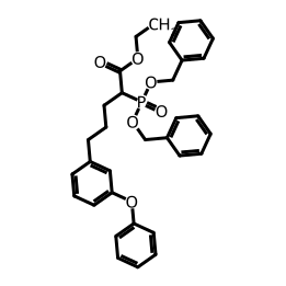 CCOC(=O)C(CCCc1cccc(Oc2ccccc2)c1)P(=O)(OCc1ccccc1)OCc1ccccc1